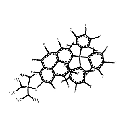 CC(C)[Si](Oc1c(F)c2c(F)c(F)c3c(F)c(F)c([B-](c4c(F)c(F)c(F)c(F)c4F)(c4c(F)c(F)c(F)c(F)c4F)c4c(F)c(F)c(F)c(F)c4F)c4c(F)c(F)c(c1F)c2c34)(C(C)C)C(C)C